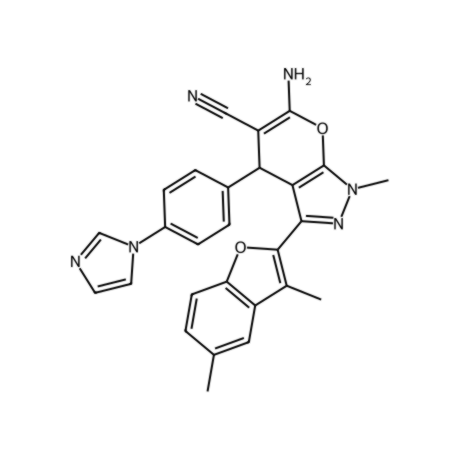 Cc1ccc2oc(-c3nn(C)c4c3C(c3ccc(-n5ccnc5)cc3)C(C#N)=C(N)O4)c(C)c2c1